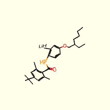 CCCCC(CC)COc1ccc(PC(=O)c2c(C)cc(C(C)(C)C)cc2C)c(C)c1.[LiH]